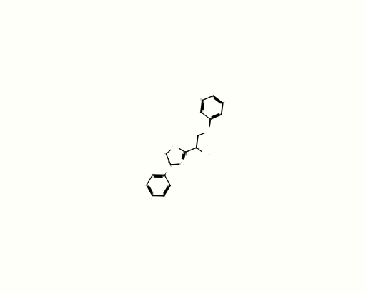 OC(COc1ccccc1)C1=N[C@@H](c2ccccc2)CO1